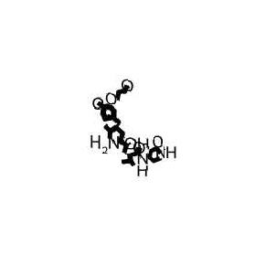 COCCCOc1cc(C[C@@H](C[C@H](N)[C@@H](O)C[C@H](C(=O)NC2CCNC(=O)C2)C(C)C)C(C)C)ccc1OC